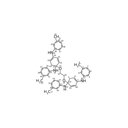 Cc1cccc(NC2=CCC(Nc3cccc(C)c3)(OCCOC3(Nc4cccc(C)c4)C=CC(Nc4cccc(C)c4)=CC3)C=C2)c1